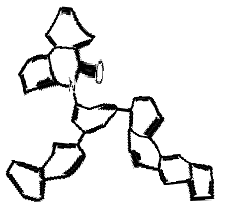 O=c1c2ccccc2c2ccccc2n1-c1cc(-c2ccc3ccccc3c2)cc(-c2cccc3c2ccc2cc4ccccc4cc23)c1